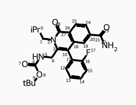 CC(C)Cn1c(CNC(=O)OC(C)(C)C)c(-c2ccccc2F)c2cc(C(N)=O)ccc2c1=O